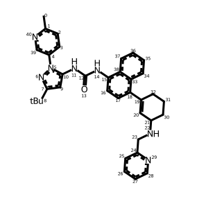 Cc1ccc(-n2nc(C(C)(C)C)cc2NC(=O)Nc2ccc(C3=CC(NCc4ccccn4)CCC3)c3ccccc23)cn1